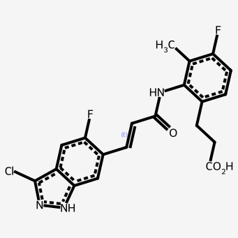 Cc1c(F)ccc(CCC(=O)O)c1NC(=O)/C=C/c1cc2[nH]nc(Cl)c2cc1F